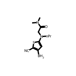 Bc1cc(N(CCC)CC(=O)N(C)C)sc1C#N